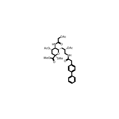 COC(=O)[C@@]1(SC)C[C@H](OC(C)=O)[C@@H](NC(=O)COC(C)=O)[C@H](C[C@@H](CNC(=O)Cc2ccc(-c3ccccc3)cc2)OC(C)=O)O1